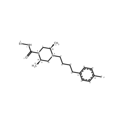 CCNC(=O)N1C[C@@H](C)N(CCCCc2ccc(F)cc2)C[C@H]1C